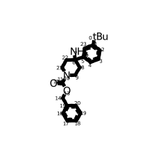 CC(C)(C)c1cccc(C2(N)CCN(C(=O)OCc3ccccc3)CC2)c1